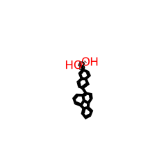 OB(O)C1=CC2C=CC(C3=C4C=CC=C5c6ccccc6C(C=C3)C54)=CC2C=C1